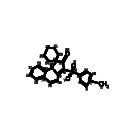 Cc1ccc(S(=O)(=O)C2=C3C=Cc4ccccc4N3C3(CCCCC3)C2=O)cc1